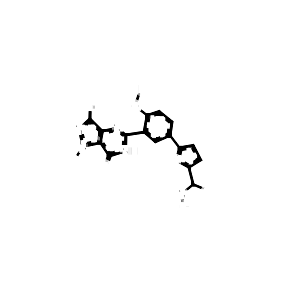 CCCc1nn(C)c2c(=O)[nH]c(-c3cc(-c4ccc(C(O)NO)s4)ccc3OCC)nc12